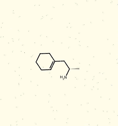 C[C@H](N)CC1=CCCCC1